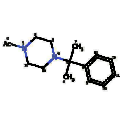 CC(=O)N1CCN(C(C)(C)c2ccccc2)CC1